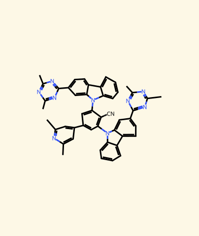 Cc1cc(-c2cc(-n3c4ccccc4c4ccc(-c5nc(C)nc(C)n5)cc43)c(C#N)c(-n3c4ccccc4c4ccc(-c5nc(C)nc(C)n5)cc43)c2)cc(C)n1